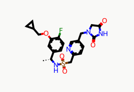 C[C@@H](NS(=O)(=O)Cc1ccc(CN2CC(=O)NC2=O)cn1)c1ccc(F)c(OCC2CC2)c1